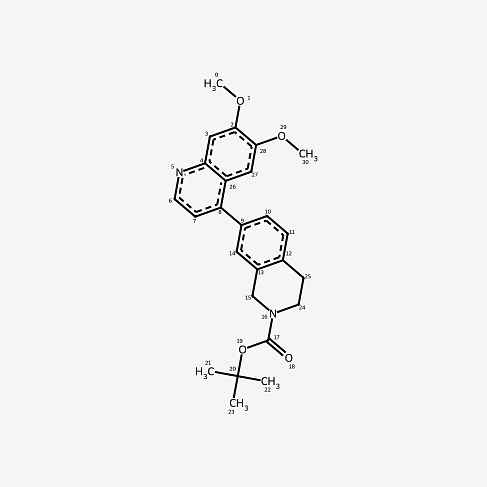 COc1cc2nccc(-c3ccc4c(c3)CN(C(=O)OC(C)(C)C)CC4)c2cc1OC